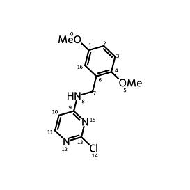 COc1ccc(OC)c(CNc2ccnc(Cl)n2)c1